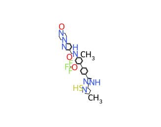 Cc1cc(-c2ccc(-c3c[nH]c(C4CC(C)CN4S)n3)cc2)c(OC(F)(F)F)cc1NC(=O)c1ccc(N2CCN(C=O)CC2)nc1